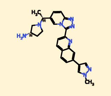 C[C@H](c1ccc2nnc(-c3ccc4ccc(-c5cnn(C)c5)cc4n3)n2c1)N1CC[C@H](N)C1